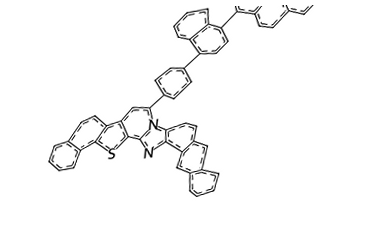 c1ccc2cc3c(ccc4c3nc3c5sc6c7ccccc7ccc6c5cc(-c5ccc(-c6ccc(-c7cccc8c7ccc7cccnc78)c7ccccc67)cc5)n43)cc2c1